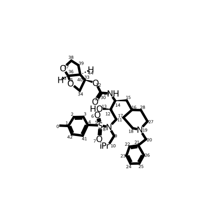 Cc1ccc(S(=O)(=O)N(CC(C)C)C[C@@H](O)[C@H](CC2CCN(Cc3ccccc3)CC2)NC(=O)O[C@H]2CO[C@H]3OCC[C@H]32)cc1